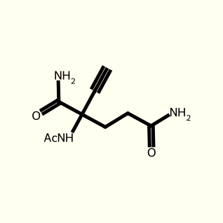 C#CC(CCC(N)=O)(NC(C)=O)C(N)=O